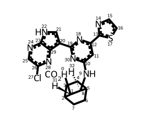 O=C(O)[C@H]1C2CCC(CC2)[C@@H]1Nc1cc(-c2nccs2)nc(-c2c[nH]c3ncc(Cl)nc23)n1